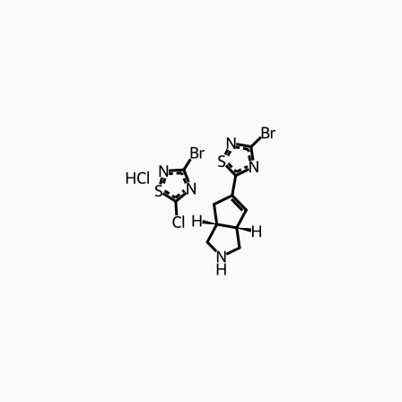 Brc1nsc(C2=C[C@@H]3CNC[C@@H]3C2)n1.Cl.Clc1nc(Br)ns1